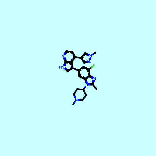 Cc1nc2c(F)cc(-c3c[nH]c4nccc(-c5cnn(C)c5)c34)cc2n1C1CCN(C)CC1